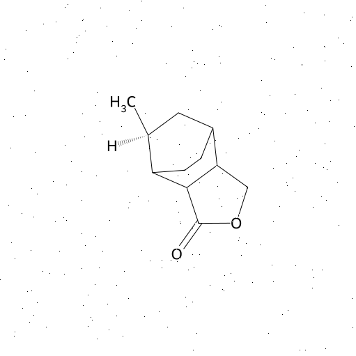 C[C@H]1CC2CCC1C1C(=O)OCC21